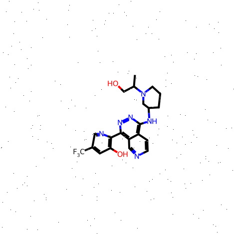 CC(CO)N1CCCC(Nc2nnc(-c3ncc(C(F)(F)F)cc3O)c3cnccc23)C1